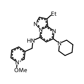 CCc1cnn2c(NCc3ccc[n+](OC)c3)cc(N3CCCCC3)nc12